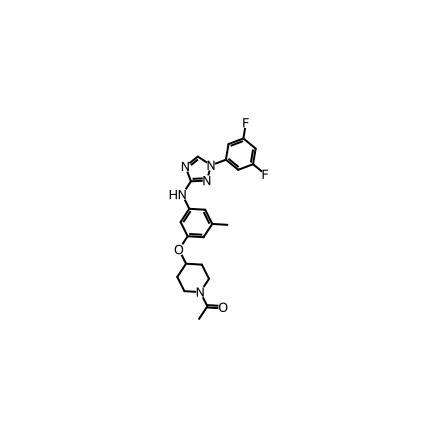 CC(=O)N1CCC(Oc2cc(C)cc(Nc3ncn(-c4cc(F)cc(F)c4)n3)c2)CC1